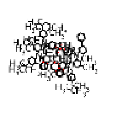 Cc1cc2c3c(c1)N(c1ccc(C(C)(C)C)cc1-c1cccc(CC(C)(C)c4ccc5c(c4)B4c6cc(C(C)(C)C)ccc6N(c6cc7c(cc6C)C(C)(C)CCC7(C)C)c6cc(C(C)(C)C)cc(c64)N5c4ccc(C(C)(C)C)cc4-c4ccccc4)c1)c1cc4c(cc1B3c1cc(C(C)(C)C)ccc1N2c1cc(-c2ccccc2)ccc1C)C(C)(C)CCC4(C)C